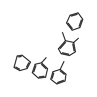 Cc1ccccc1.Cc1ccccc1.Cc1ccccc1C.c1ccccc1.c1ccccc1